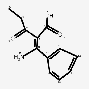 CCC(=O)C(C(=O)O)=C(N)c1ccccc1